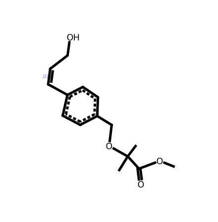 COC(=O)C(C)(C)OCc1ccc(/C=C\CO)cc1